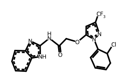 O=C(COc1cc(C(F)(F)F)nn1C1=CC=CCC1Cl)Nc1nc2ccccc2[nH]1